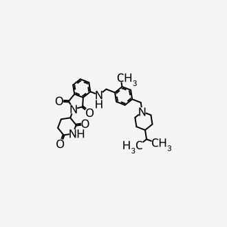 Cc1cc(CN2CCC(C(C)C)CC2)ccc1CNc1cccc2c1C(=O)N(C1CCC(=O)NC1=O)C2=O